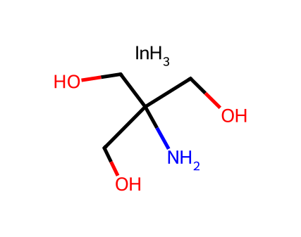 NC(CO)(CO)CO.[InH3]